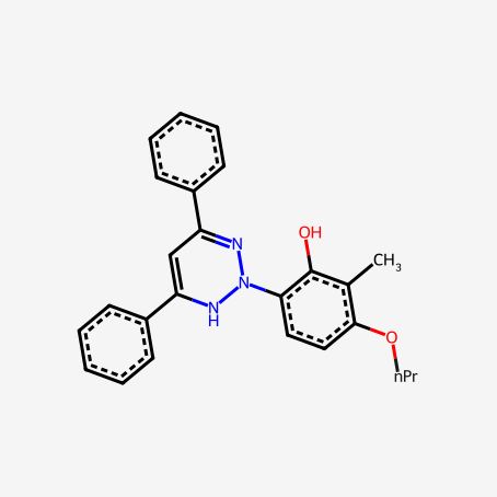 CCCOc1ccc(N2N=C(c3ccccc3)C=C(c3ccccc3)N2)c(O)c1C